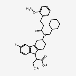 CCC(C(=O)O)n1c2c(c3cc(F)ccc31)C[C@@H](N(CC1CCCCC1)C(=O)CCc1ccccc1OC)CC2